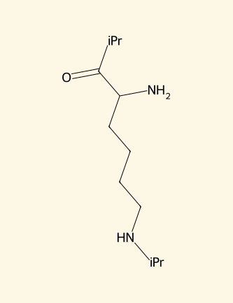 CC(C)NCCCCC(N)C(=O)C(C)C